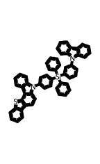 c1ccc([Si](c2ccccc2)(c2ccc(-n3c4ccccc4c4c5sc6ccccc6c5ccc43)cc2)c2cccc(-n3c4ccccc4c4ccccc43)c2)cc1